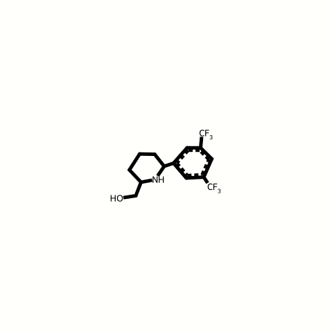 OCC1CCCC(c2cc(C(F)(F)F)cc(C(F)(F)F)c2)N1